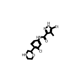 CCc1[nH]nc(C(=O)Nc2ccc(C3CNCCO3)c(Cl)c2)c1C